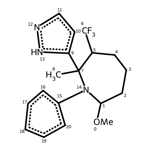 COC1CCCC(C(F)(F)F)C(C)(c2ccn[nH]2)N1c1ccccc1